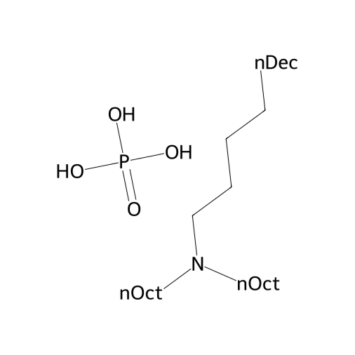 CCCCCCCCCCCCCCN(CCCCCCCC)CCCCCCCC.O=P(O)(O)O